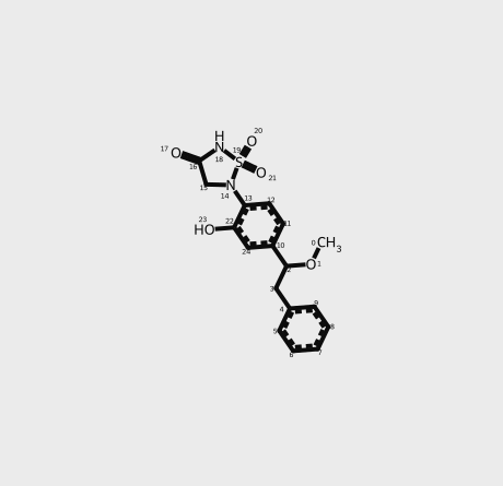 COC(Cc1ccccc1)c1ccc(N2CC(=O)NS2(=O)=O)c(O)c1